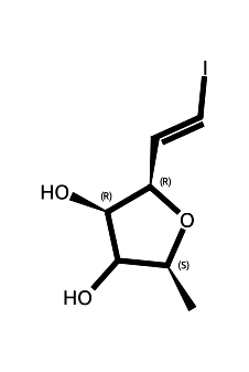 C[C@@H]1O[C@H](C=CI)[C@H](O)C1O